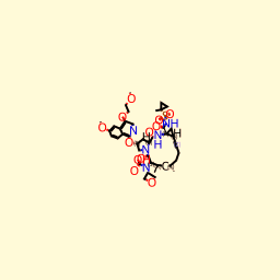 COCCOc1cnc(O[C@@H]2C[C@H]3C(=O)N[C@]4(C(=O)NS(=O)(=O)C5(C)CC5)C[C@H]4/C=C\CC[C@H](C)C[C@@H](C)[C@H](N(C(=O)O)C4COC4)C(=O)N3C2)c2ccc(OC)cc12